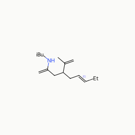 C=C(CC(C/C=C/CC)C(=C)C)NC(C)CC